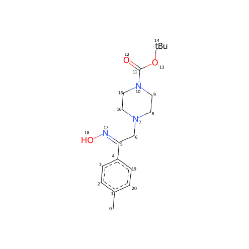 Cc1ccc(/C(CN2CCN(C(=O)OC(C)(C)C)CC2)=N\O)cc1